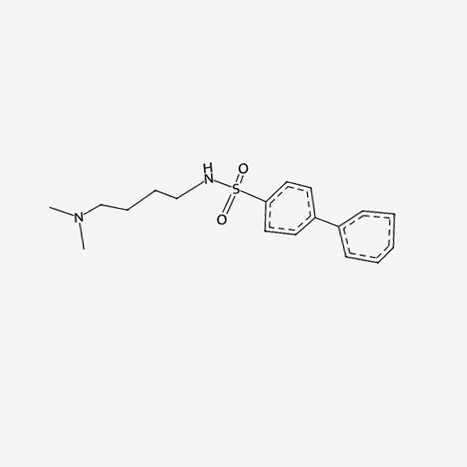 CN(C)CCCCNS(=O)(=O)c1ccc(-c2ccccc2)cc1